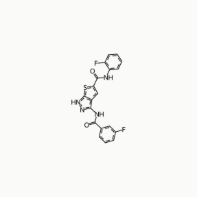 O=C(Nc1n[nH]c2sc(C(=O)Nc3ccccc3F)cc12)c1cccc(F)c1